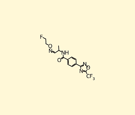 CC(/C=N\OCCF)NC(=O)c1ccc(-c2noc(C(F)(F)F)n2)cc1